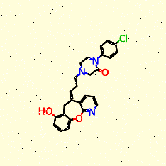 O=C1CN(CC/C=C2/Cc3c(O)cccc3Oc3ncccc32)CCN1c1ccc(Cl)cc1